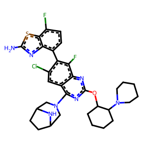 Nc1nc2c(-c3c(Cl)cc4c(N5CC6CCC(C5)N6)nc(OC5CCCCC5N5CCCCC5)nc4c3F)ccc(F)c2s1